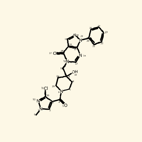 Cn1cc(C(=O)N2CCC(O)(Cn3cnc4c(cnn4-c4ccccc4)c3=O)CC2)c(Cl)n1